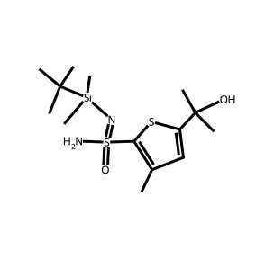 Cc1cc(C(C)(C)O)sc1S(N)(=O)=N[Si](C)(C)C(C)(C)C